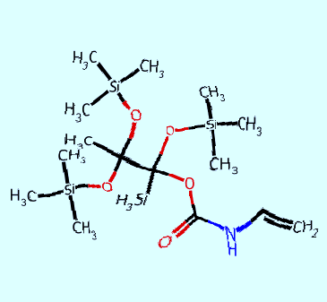 C=CNC(=O)OC([SiH3])(O[Si](C)(C)C)C(C)(O[Si](C)(C)C)O[Si](C)(C)C